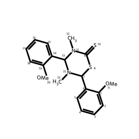 COc1ccccc1C1SC(=S)N(C)C(c2ccccc2OC)N1C